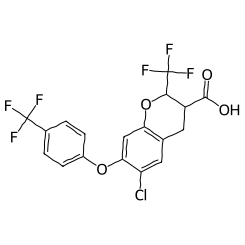 O=C(O)C1Cc2cc(Cl)c(Oc3ccc(C(F)(F)F)cc3)cc2OC1C(F)(F)F